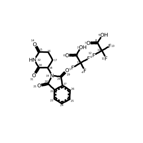 O=C(O)C(F)(F)F.O=C(O)C(F)(F)F.O=C1CCC(N2C(=O)c3ccccc3C2=O)C(=O)N1